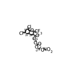 C[C@@H](CO[N+](=O)[O-])OC(=O)OCOC(=O)C1=Cc2cc(Cl)cc(Cl)c2O[C@@H]1C(F)(F)F